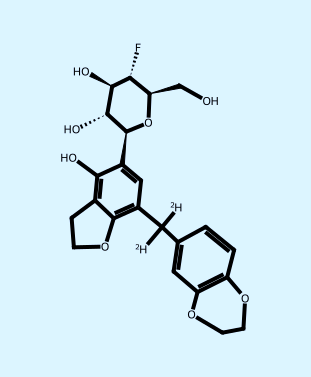 [2H]C([2H])(c1ccc2c(c1)OCCO2)c1cc([C@@H]2O[C@H](CO)[C@@H](F)[C@H](O)[C@H]2O)c(O)c2c1OCC2